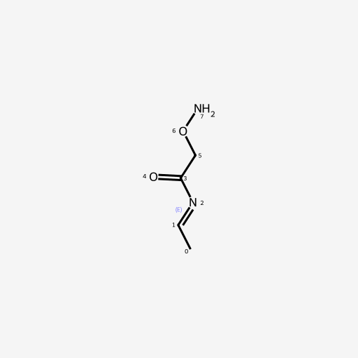 C/C=N/C(=O)CON